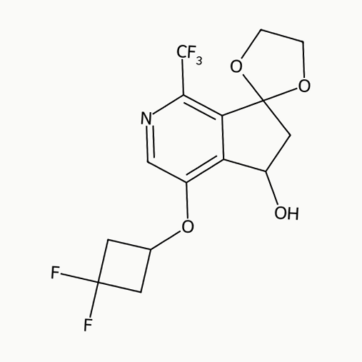 OC1CC2(OCCO2)c2c(C(F)(F)F)ncc(OC3CC(F)(F)C3)c21